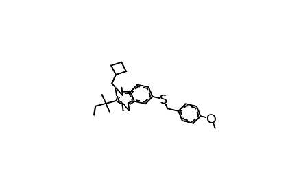 CCC(C)(C)c1nc2cc(SCc3ccc(OC)cc3)ccc2n1CC1CCC1